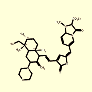 C=C1C(N2CCOCC2)CC2[C@](C)(CC[C@@H](O)[C@@]2(C)CO)C1/C=C/C1=CC(=C\C2=CN3C(=O)C(C(=O)OCC)N(C)C3C=C2)/OC1=O